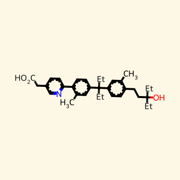 CCC(O)(CC)CCc1ccc(C(CC)(CC)c2ccc(-c3ccc(CC(=O)O)cn3)c(C)c2)cc1C